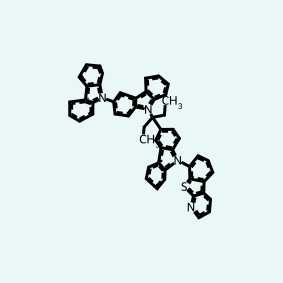 CCC(CC)(c1ccc2c(c1)c1ccccc1n2-c1cccc2c1sc1ncccc12)n1c2ccccc2c2cc(-n3c4ccccc4c4ccccc43)ccc21